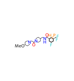 COC1CCN(CC(=O)N2CCC(CNC(=O)c3cc(F)cc(C(F)(F)P)c3)CC2)CC1